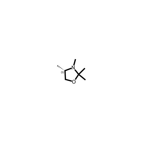 C[C@H]1COC(C)(C)N1C